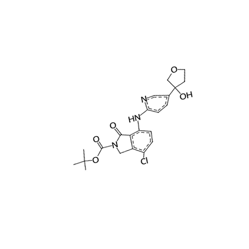 CC(C)(C)OC(=O)N1Cc2c(Cl)ccc(Nc3ccc(C4(O)CCOC4)cn3)c2C1=O